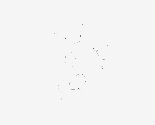 N#CCC(c1cc(Br)co1)n1cc(-c2ncnc3[nH]ccc23)cn1.O=C(O)C(F)(F)F